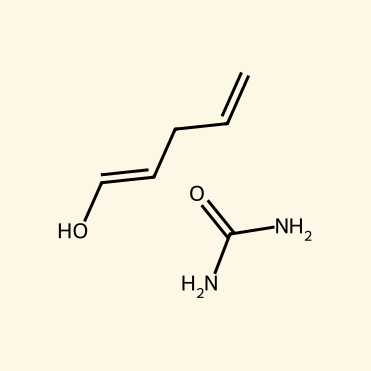 C=CCC=CO.NC(N)=O